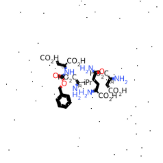 CC(C)[C@H](N)C(=O)O.NC(=O)CC[C@H](N)C(=O)O.N[C@@H](CC(=O)O)C(=O)O.O=C(O)C[C@H](NC(=O)OCc1ccccc1)C(=O)O